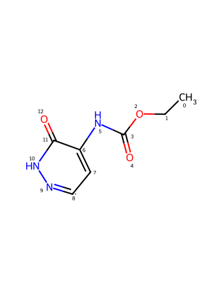 CCOC(=O)Nc1c[c]n[nH]c1=O